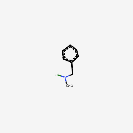 O=CN(Cl)Cc1ccccc1